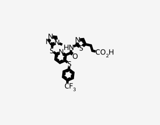 Cn1cnnc1Sc1ccc(Sc2ccc(C(F)(F)F)cc2)c(C(=O)Nc2ncc(CCC(=O)O)s2)n1